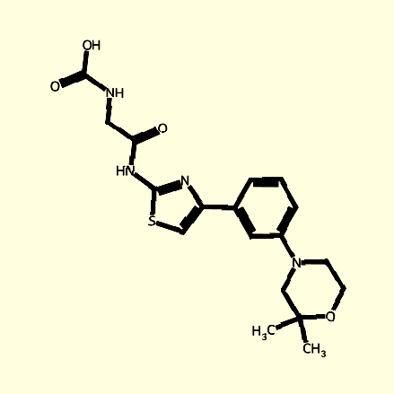 CC1(C)CN(c2cccc(-c3csc(NC(=O)CNC(=O)O)n3)c2)CCO1